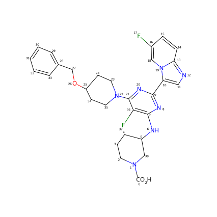 O=C(O)N1CCCC(Nc2nc(-c3cnc4ccc(F)cn34)nc(N3CCC(OCc4ccccc4)CC3)c2F)C1